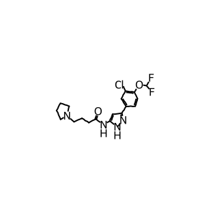 O=C(CCCN1CCCC1)Nc1cc(-c2ccc(OC(F)F)c(Cl)c2)n[nH]1